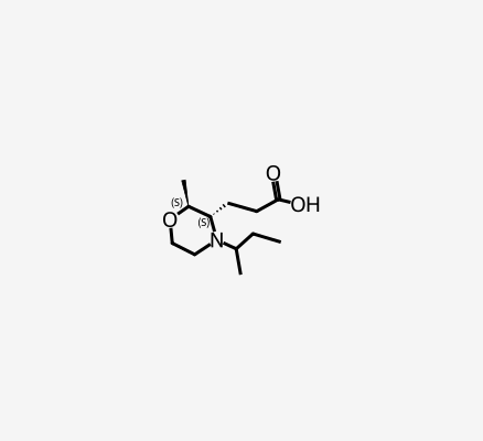 CCC(C)N1CCO[C@@H](C)[C@@H]1CCC(=O)O